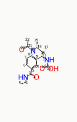 CCNC(=O)c1ccc2c(c1)[C@H](NC(=O)O)[C@@H](C)[C@H](C)N2C(C)=O